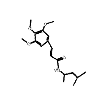 COc1cc(/C=C/C(=O)NC(C)CC(C)C)cc(OC)c1OC